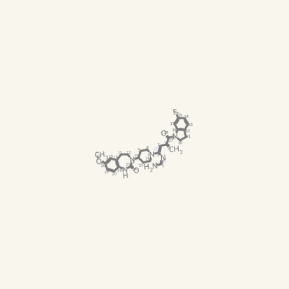 C=C(/C=C(\N=C/N)N1CCC(N2CCc3cc(OC)ccc3NC2=O)CC1)C(=O)N1CCc2ccc(F)cc21